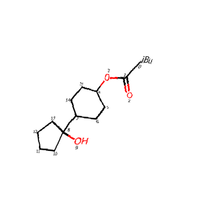 CCC(C)C(=O)OC1CCC(C2(O)CCCC2)CC1